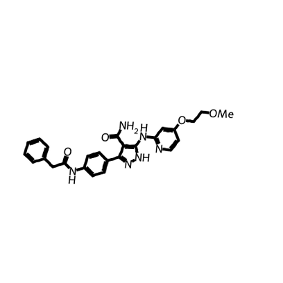 COCCOc1ccnc(Nc2[nH]nc(-c3ccc(NC(=O)Cc4ccccc4)cc3)c2C(N)=O)c1